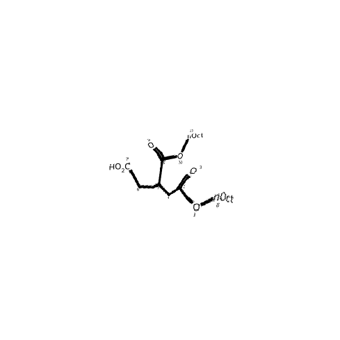 CCCCCCCCOC(=O)CC(CC(=O)O)C(=O)OCCCCCCCC